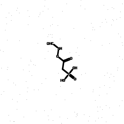 O=CNOC(=O)CP(=O)(O)O